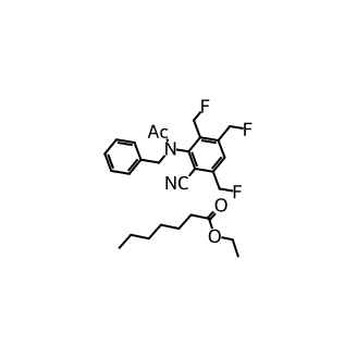 CC(=O)N(Cc1ccccc1)c1c(C#N)c(CF)cc(CF)c1CF.CCCCCCC(=O)OCC